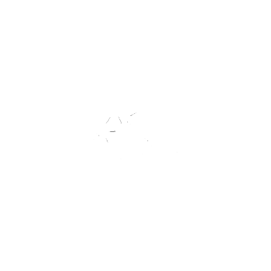 CCO[C@H]1CC[C@](C)(N2CCC(n3c(=O)oc4ccc(C(N)=O)cc43)CC2)CC1.Cl